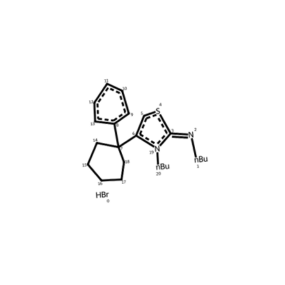 Br.CCCC/N=c1/scc(C2(c3ccccc3)CCCCC2)n1CCCC